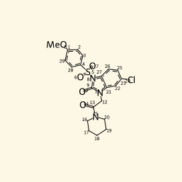 COc1ccc(S(=O)(=O)n2c(=O)n(CC(=O)N3CCCCC3)c3cc(Cl)ccc32)cc1